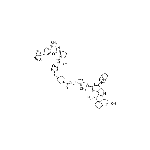 Cc1ncsc1-c1ccc([C@H](C)NC(=O)[C@@H]2CCCN2C(=O)[C@@H](c2cc(OC3CCN(C(=O)OC[C@@H]4CCC(COc5nc(N6CC7CCC(C6)N7)c6cnc7c(c6n5)C(C)c5cccc6cc(O)cc-7c56)N4C)CC3)no2)C(C)C)cc1